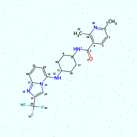 Cc1ccc(C(=O)NC2CCC(Nc3cccc4nc(C(F)(F)F)cn34)CC2)c(C)n1